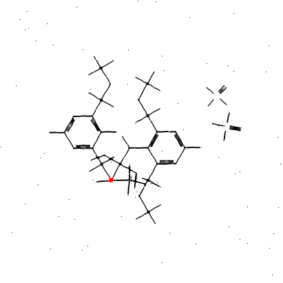 Cc1cc(C(C)(C)CC(C)(C)C)c(OC(c2c(C(C)(C)CC(C)(C)C)cc(C)cc2C(C)(C)CC(C)(C)C)C(CO)(CO)CO)c(C(C)(C)CC(C)(C)C)c1.O=P(O)(O)OP(=O)(O)O